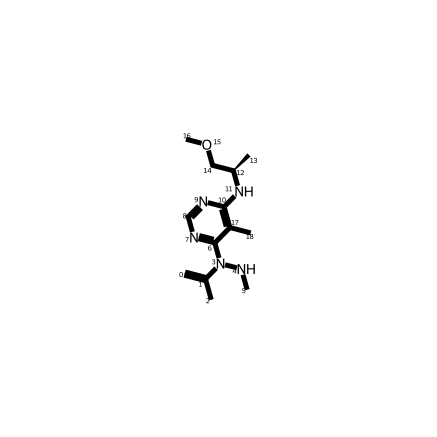 C=C(C)N(NC)c1ncnc(N[C@H](C)COC)c1C